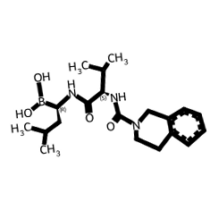 CC(C)C[C@H](NC(=O)[C@@H](NC(=O)N1CCc2ccccc2C1)C(C)C)B(O)O